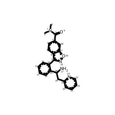 CN(C)C(=O)c1ccc2c(-c3ccccc3C(N)Cc3ccccn3)noc2c1